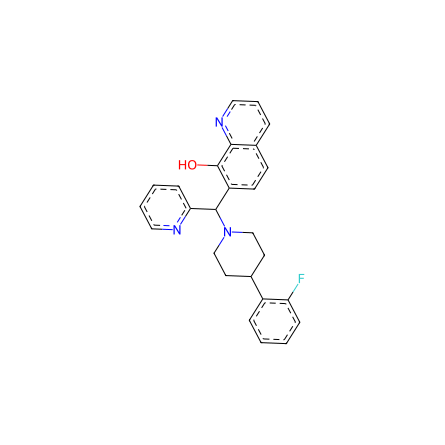 Oc1c(C(c2ccccn2)N2CCC(c3ccccc3F)CC2)ccc2cccnc12